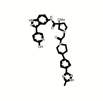 CO[C@@]1(C(=O)Nc2ccc3[nH]nc(-c4ccc(O)nc4)c3c2)CCN(CC(=O)N2CC=C(c3ccc(-c4n[nH]c(C)n4)cc3)CC2)C1